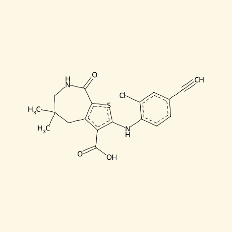 C#Cc1ccc(Nc2sc3c(c2C(=O)O)CC(C)(C)CNC3=O)c(Cl)c1